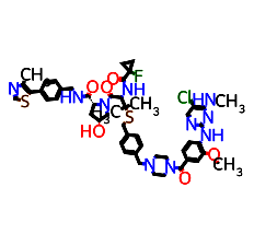 CNc1nc(Nc2ccc(C(=O)N3CCN(Cc4ccc(CSC(C)(C)C(NC(=O)C5(F)CC5)C(=O)N5C[C@H](O)C[C@@H]5C(=O)NCc5ccc(-c6scnc6C)cc5)cc4)CC3)cc2OC)ncc1Cl